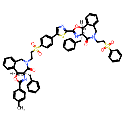 Cc1ccc(C2=N[C@]3(Cc4ccccc4)C(=O)N(CCS(=O)(=O)c4ccc(-c5cnc(C6=N[C@]7(Cc8ccccc8)C(=O)N(CCS(=O)(=O)c8ccccc8)Cc8ccccc8[C@@H]7O6)s5)cc4)Cc4ccccc4[C@@H]3O2)cc1